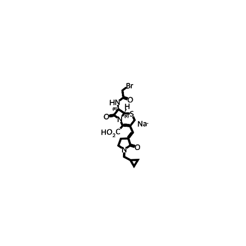 O=C(CBr)N[C@@H]1C(=O)N2C(C(=O)O)=C(C=C3CCN(CC4CC4)C3=O)CS[C@H]12.[Na]